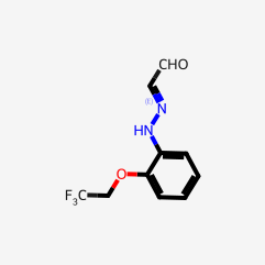 O=C/C=N/Nc1ccccc1OCC(F)(F)F